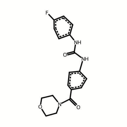 O=C(Nc1ccc(F)cc1)Nc1ccc(C(=O)N2CCOCC2)cc1